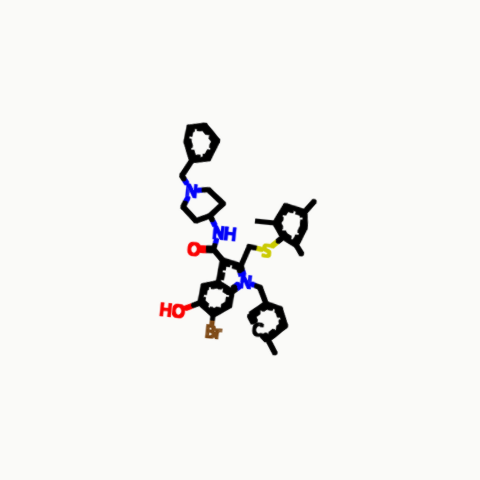 Cc1ccc(Cn2c(CSc3c(C)cc(C)cc3C)c(C(=O)NC3CCN(Cc4ccccc4)CC3)c3cc(O)c(Br)cc32)cc1